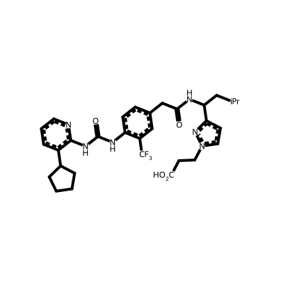 CC(C)CC(NC(=O)Cc1ccc(NC(=O)Nc2ncccc2C2CCCC2)c(C(F)(F)F)c1)c1ccn(CCC(=O)O)n1